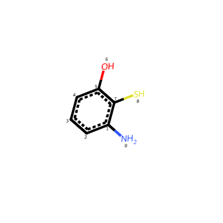 Nc1cccc(O)c1S